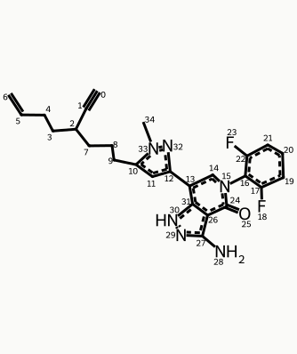 C#CC(CCC=C)CCCc1cc(-c2cn(-c3c(F)cccc3F)c(=O)c3c(N)n[nH]c23)nn1C